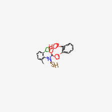 Cc1cccc(Cl)c1N(S)C(=O)Oc1ccccc1O